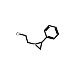 ClCCN1CC1c1ccccc1